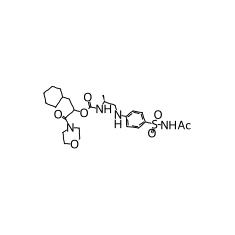 CC(=O)NS(=O)(=O)c1ccc(NC[C@H](C)NC(=O)OC(CC2CCCCC2)C(=O)N2CCOCC2)cc1